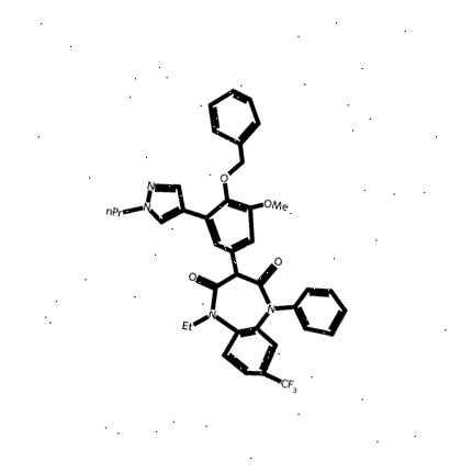 CCCn1cc(-c2cc(C3C(=O)N(CC)c4ccc(C(F)(F)F)cc4N(c4ccccc4)C3=O)cc(OC)c2OCc2ccccc2)cn1